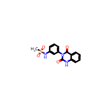 CS(=O)(=O)Nc1cccc(-n2c(=O)[nH]c3ccccc3c2=O)c1